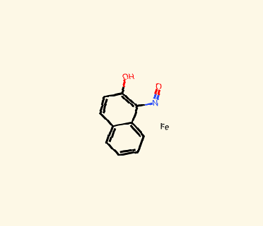 O=Nc1c(O)ccc2ccccc12.[Fe]